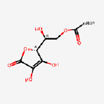 CCCCCCCCCC(=O)OC[C@H](O)[C@H]1OC(=O)C(O)=C1O